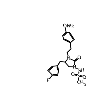 COc1ccc(CCN2C(=O)N(NS(C)(=O)=O)CC2Cc2ccc(F)cc2)cc1